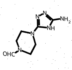 Nc1nnc(N2CCN(C=O)CC2)[nH]1